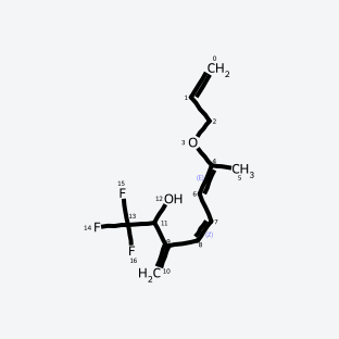 C=CCO/C(C)=C/C=C\C(=C)C(O)C(F)(F)F